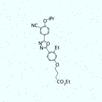 CCOC(=O)CCCOc1ccc(-c2nnc(-c3ccc(OC(C)C)c(C#N)c3)o2)c(CC)c1